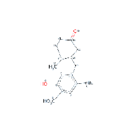 CCCCc1cc(C(=O)O)c(O)cc1CC1CC(=O)CCC1C